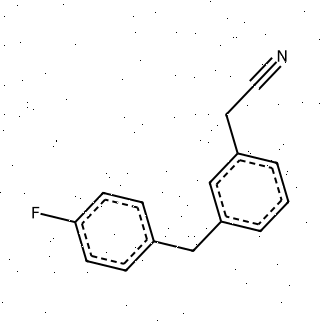 N#CCc1cccc(Cc2ccc(F)cc2)c1